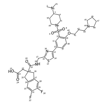 CN(C)C1CCN(S(=O)(=O)c2cc(-c3csc(CNC(=O)C4(CC(=O)O)Cc5cc(F)c(F)cc5C4)n3)ccc2OCCCN2CCCC2)CC1